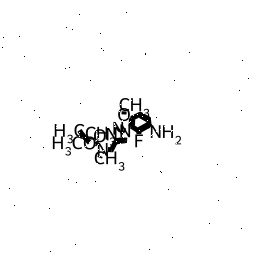 COc1ccc(N)c(F)c1-n1cc(CN(C)C(=O)OC(C)(C)C)nn1